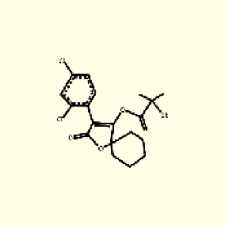 C=C(OC1=C(c2ccc(Cl)cc2Cl)C(=O)OC12CCCCC2)C(C)(C)CC